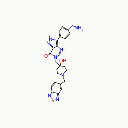 Cn1nc2c(=O)n(CC3(O)CCN(Cc4ccc5nsnc5c4)CC3)cnc2c1-c1ccc(CN)cc1